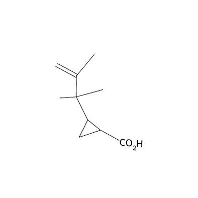 C=C(C)C(C)(C)C1CC1C(=O)O